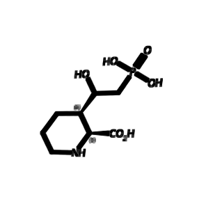 O=C(O)[C@H]1NCCC[C@H]1C(O)CP(=O)(O)O